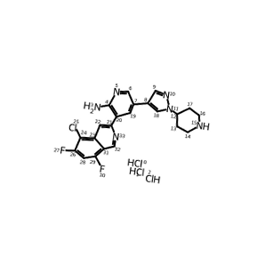 Cl.Cl.Cl.Nc1ncc(-c2cnn(C3CCNCC3)c2)cc1-c1cc2c(Cl)c(F)cc(F)c2cn1